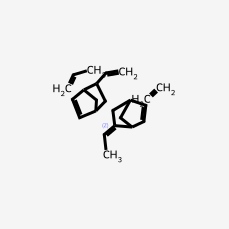 C/C=C1/CC2C=CC1C2.C=C.C=CC.C=CC1CC2C=CC1C2